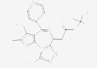 Cc1sc2c(c1C)C(c1ccncc1)=NC(CC(=O)OC(C)(C)C)c1nnc(C)n1-2